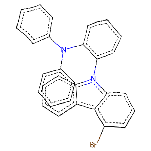 Brc1cccc2c1c1ccccc1n2-c1ccccc1N(c1ccccc1)c1ccccc1